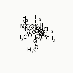 CCC(=O)O[C@@H]1[C@@](C)(COP(=O)(N[C@@H](C)C(=O)OC(C)C)Oc2ccc(OCCOC)cc2)OC[C@]1(OC(=O)CC)c1ccc2c(N)ncnn12